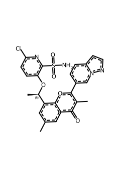 Cc1cc([C@@H](C)Oc2ccc(Cl)nc2S(N)(=O)=O)c2oc(-c3ccc4ccnn4c3)c(C)c(=O)c2c1